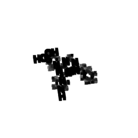 OS1(O)CCN(c2nc(N3CCNCC3)nc3c(NCc4ccccc4)ncnc23)CC1